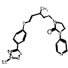 CCn1nnc(-c2ccc(OCCC(C)CCN3CCN(c4ccncc4)C3=O)cc2)n1